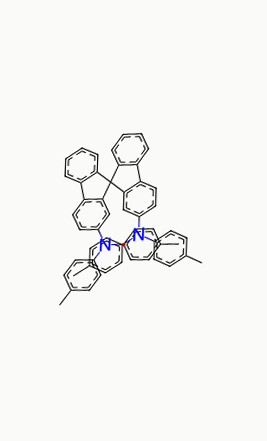 Cc1ccc(N(c2ccc(C)cc2)c2ccc3c(c2)C2(c4ccccc4-3)c3ccccc3-c3ccc(N(c4ccc(C)cc4)c4ccc(C)cc4)cc32)cc1